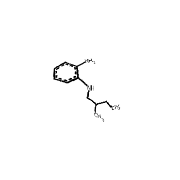 CCC(C)CNc1ccccc1N